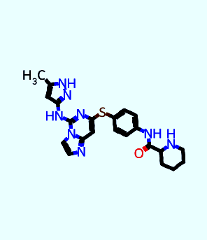 Cc1cc(Nc2nc(Sc3ccc(NC(=O)C4CCCCN4)cc3)cc3nccn23)n[nH]1